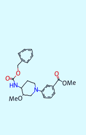 COC(=O)c1cccc(N2CCC(NC(=O)OCc3ccccc3)C(OC)C2)c1